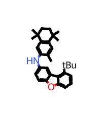 Cc1cc2c(cc1Nc1ccc3oc4cccc(C(C)(C)C)c4c3c1)C(C)(C)CCC2(C)C